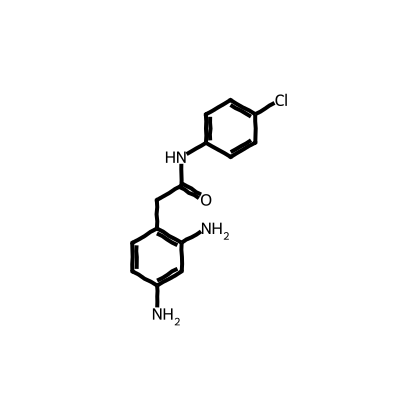 Nc1ccc(CC(=O)Nc2ccc(Cl)cc2)c(N)c1